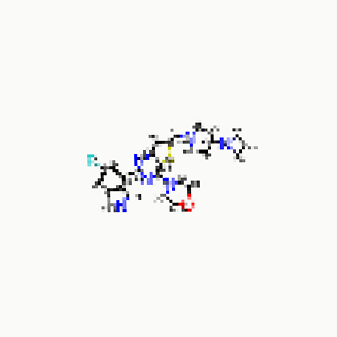 Fc1cc2c(c(-c3nc(N4CCOCC4)c4sc(CN5CCC(N6CCC6)CC5)cc4n3)c1)C=NC2